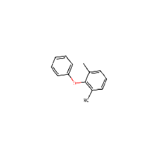 Cc1cccc(C#N)c1Oc1ccccc1